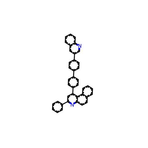 c1ccc(-c2cc(-c3ccc(-c4ccc(-c5cnc6ccccc6c5)cc4)cc3)c3c(ccc4ccccc43)n2)cc1